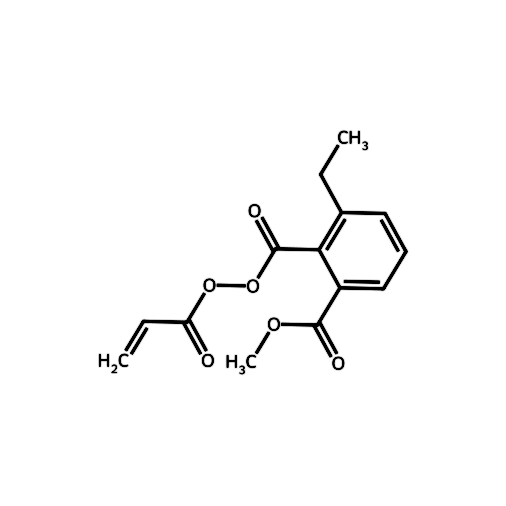 C=CC(=O)OOC(=O)c1c(CC)cccc1C(=O)OC